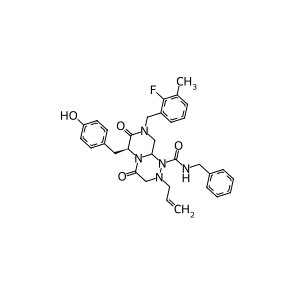 C=CCN1CC(=O)N2C(CN(Cc3cccc(C)c3F)C(=O)[C@@H]2Cc2ccc(O)cc2)N1C(=O)NCc1ccccc1